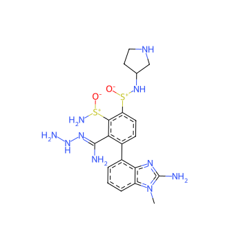 Cn1c(N)nc2c(-c3ccc([S+]([O-])NC4CCNC4)c([S+](N)[O-])c3/C(N)=N/NN)cccc21